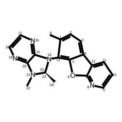 Cc1ccc2c(oc3ncccc32)c1N1c2nccnc2N(C)[C@@H]1C